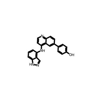 Oc1ccc(-c2ccc3nccc(Nc4cccc5[nH]ncc45)c3c2)cc1